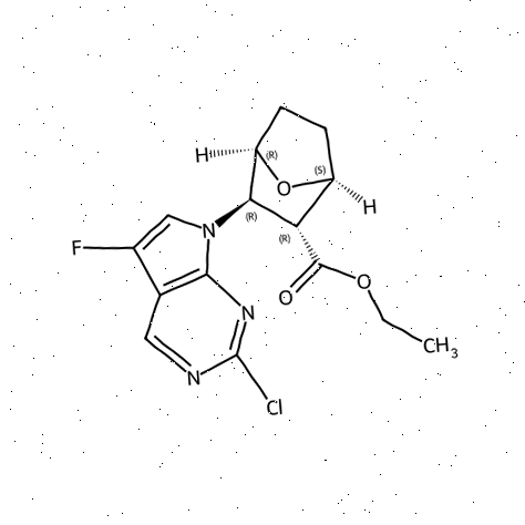 CCOC(=O)[C@@H]1[C@@H](n2cc(F)c3cnc(Cl)nc32)[C@H]2CC[C@@H]1O2